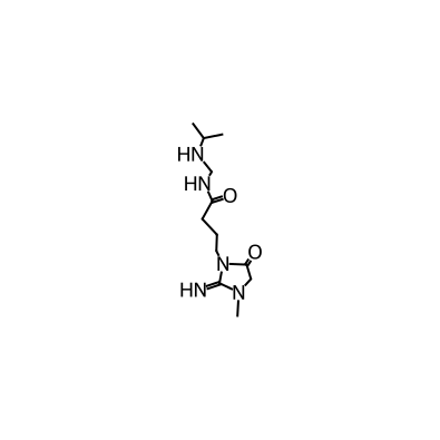 CC(C)NCNC(=O)CCCN1C(=N)N(C)CC1=O